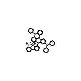 CC1(C)c2ccccc2-c2cccc(N3c4cc(N(c5ccccc5)c5ccccc5)ccc4B4c5ccccc5N(c5ccccc5)c5cccc3c54)c21